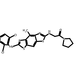 Cc1c2nc(NCC(=O)N3CCCC3)sc2cc2sc(Nc3c(Cl)cccc3Cl)nc12